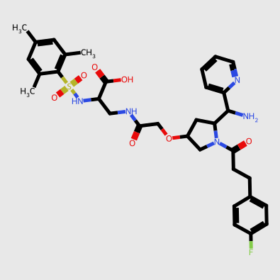 Cc1cc(C)c(S(=O)(=O)NC(CNC(=O)COC2CC(C(N)c3ccccn3)N(C(=O)CCc3ccc(F)cc3)C2)C(=O)O)c(C)c1